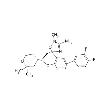 CN1OC2(C[C@H]([C@H]3CCOC(C)(C)C3)Oc3ccc(-c4ccc(F)c(F)c4)cc32)N=C1N